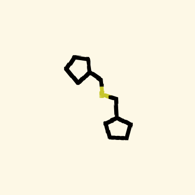 C1CCC(CSCC2CCCC2)C1